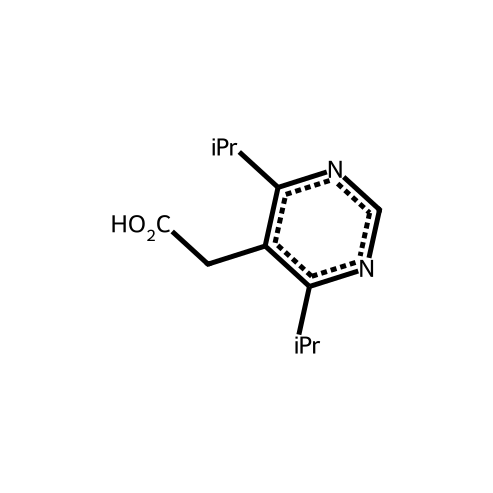 CC(C)c1ncnc(C(C)C)c1CC(=O)O